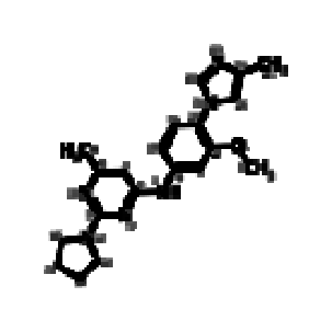 COc1cc(Nc2cc(C)nc(N3CCCC3)n2)ccc1-n1cnc(C)c1